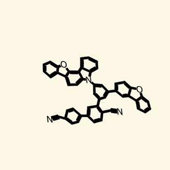 N#Cc1ccc(-c2ccc(C#N)c(-c3cc(-c4ccc5oc6ccccc6c5c4)cc(-n4c5ccccc5c5c6oc7ccccc7c6ccc54)c3)c2)cc1